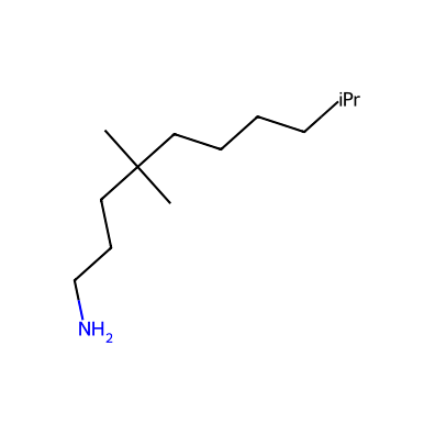 CC(C)CCCCC(C)(C)CCCN